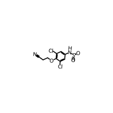 N#CCCOc1c(Cl)cc(N[SH](=O)=O)cc1Cl